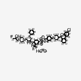 O=C(NS(=O)(=O)c1ccc(NC(CCN2CCN(CC(O)CF)CC2)CSc2ccccc2)c(C(F)(F)F)c1)c1ccc(N2CCC(C(O)c3ccccc3-c3ccc(Cl)cc3)CC2)cc1.O=CO